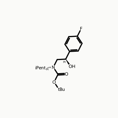 CCC[C@@H](C)N(C[C@H](O)c1ccc(F)cc1)C(=O)OC(C)(C)C